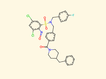 O=Nc1c(Cl)cc(Cl)cc1S(=O)(=O)N(Cc1ccc(F)cc1)Cc1ccc(C(=O)N2CCC(Cc3ccccc3)CC2)cc1